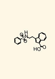 O=C(O)c1cc(CCNS(=O)(=O)c2ccccc2)c2cccccc1-2